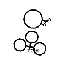 O=C(O)C(/C1=C/CCCCCCCC1)(/C1=C/CCCCCCCC1)/C1=C/CCCCCCCC1.O=C1OC2CCCCCCCCCCCCCC12